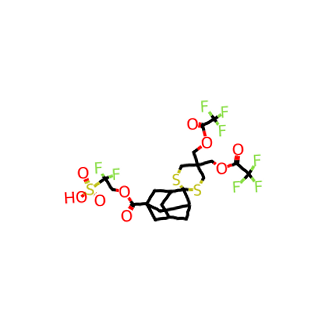 O=C(OCC1(COC(=O)C(F)(F)F)CSC2(SC1)C1CC3CC2CC(C(=O)OCC(F)(F)S(=O)(=O)O)(C3)C1)C(F)(F)F